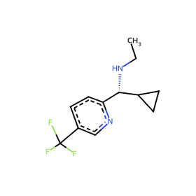 CCN[C@@H](c1ccc(C(F)(F)F)cn1)C1CC1